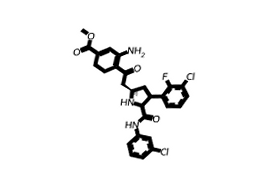 COC(=O)C1=CC(N)=C(C(=O)C[C@H]2CC(c3cccc(Cl)c3F)C(C(=O)Nc3cccc(Cl)c3)N2)CC1